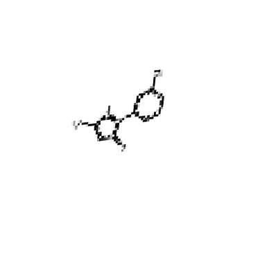 Cc1cc(=O)n(-c2cccc(C#N)c2)[nH]1